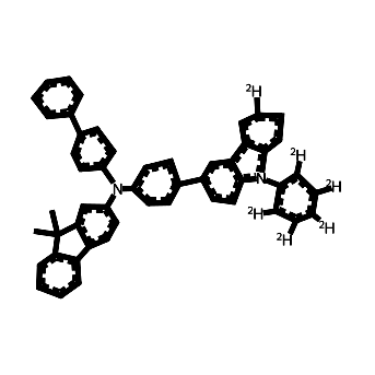 [2H]c1ccc2c(c1)c1cc(-c3ccc(N(c4ccc(-c5ccccc5)cc4)c4ccc5c(c4)C(C)(C)c4ccccc4-5)cc3)ccc1n2-c1c([2H])c([2H])c([2H])c([2H])c1[2H]